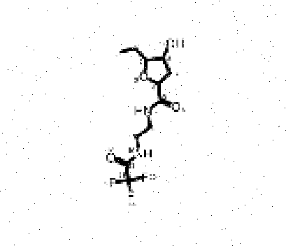 CCC1OC(C(=O)NCCNC(=O)C(F)(F)F)CC1O